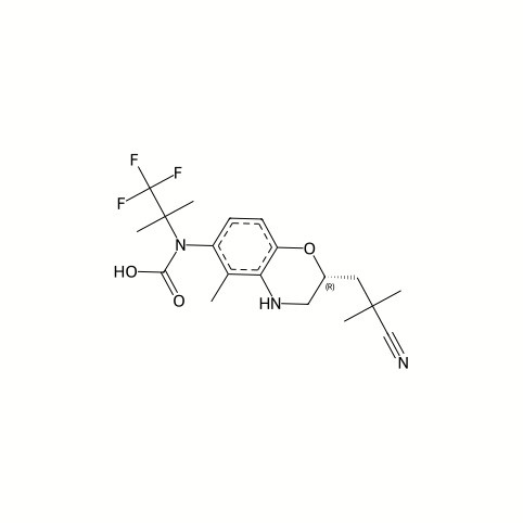 Cc1c(N(C(=O)O)C(C)(C)C(F)(F)F)ccc2c1NC[C@@H](CC(C)(C)C#N)O2